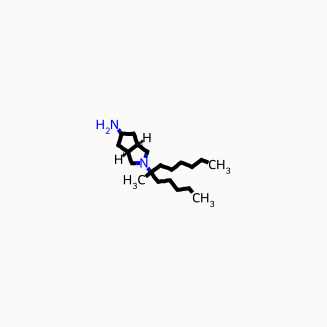 CCCCCCC(C)(CCCCC)N1C[C@H]2CC(N)C[C@H]2C1